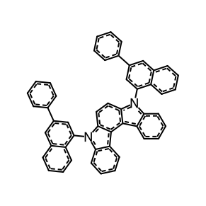 c1ccc(-c2cc(-n3c4ccccc4c4c5c6ccccc6n(-c6cc(-c7ccccc7)cc7ccccc67)c5ccc43)c3ccccc3c2)cc1